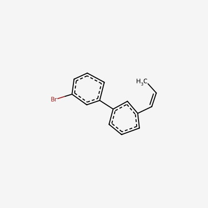 C/C=C\c1cccc(-c2cccc(Br)c2)c1